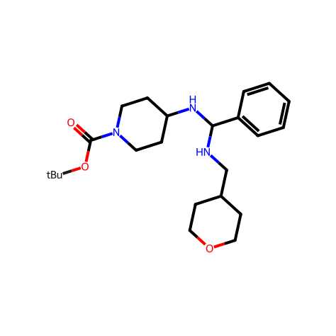 CC(C)(C)OC(=O)N1CCC(NC(NCC2CCOCC2)c2ccccc2)CC1